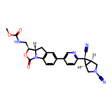 COC(=O)NC[C@@H]1OC(=O)N2c3ccc(-c4ccc([C@@]5(C#N)[C@@H]6CN(C#N)C[C@@H]65)nc4)cc3C[C@@H]12